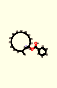 CC1/C=C(\OC(=O)c2ccccc2)CCCCCCCCCCCC1